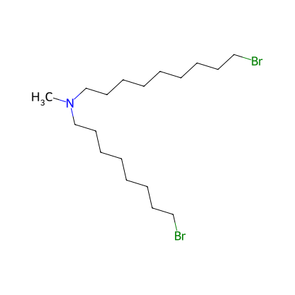 CN(CCCCCCCCBr)CCCCCCCCCBr